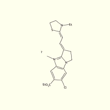 CCOC(=O)c1cc2c(cc1Cl)n1c([n+]2C)C(=CC=C2SCCN2CC)CC1.[I-]